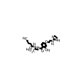 C#CCCC(=O)N[C@@H](CNC(=O)c1ccc(OCCNC2=NCCN2)cc1O)C(=O)O